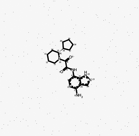 Nc1ncc(NC(=O)C(=O)N2CCCC[C@@H]2C2CCCC2)c2[nH]ncc12